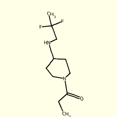 CCC(=O)N1CCC(NCC(C)(F)F)CC1